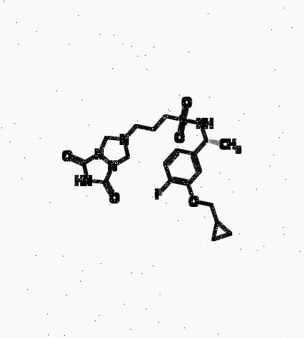 C[C@@H](NS(=O)(=O)CCCN1Cn2c(=O)[nH]c(=O)n2C1)c1ccc(F)c(OCC2CC2)c1